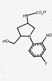 O=C(O)NC1CC(CO)N(c2ccc(F)cc2[N+](=O)[O-])C1